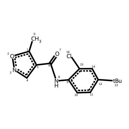 Cc1oncc1C(=O)Nc1ccc(C(C)(C)C)cc1Cl